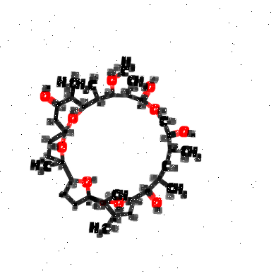 CCC12CCC(O1)C1(C)CCC3(CC(=O)C(C)C(O3)C(C)C(OC)C(C)C(=O)OCC(=O)C(C)CC(C)C(=O)C3CC(C)C2O3)O1